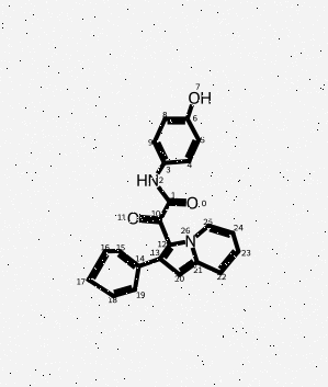 O=C(Nc1ccc(O)cc1)C(=O)c1c(-c2ccccc2)cc2ccccn12